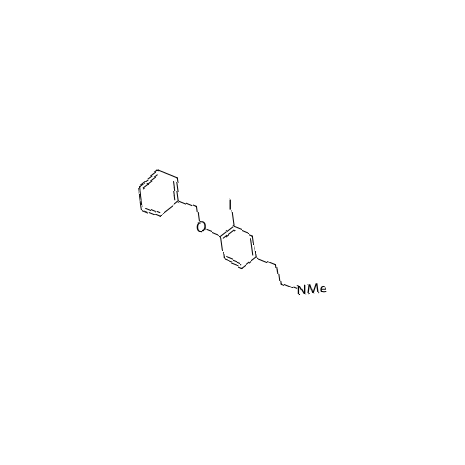 CNCCc1ccc(OCc2ccccc2)c(I)c1